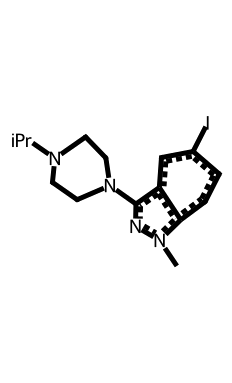 CC(C)N1CCN(c2nn(C)c3ccc(I)cc23)CC1